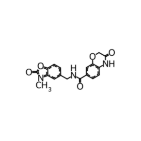 Cn1c(=O)oc2ccc(CNC(=O)c3ccc4c(c3)OCC(=O)N4)cc21